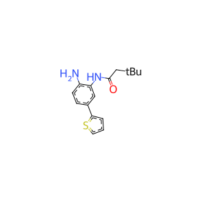 CC(C)(C)CC(=O)Nc1cc(-c2cccs2)ccc1N